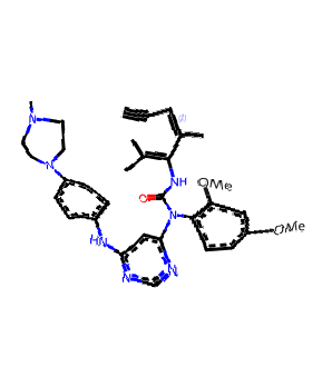 C#C/C=C(/C)C(NC(=O)N(c1cc(Nc2ccc(N3CCN(C)CC3)cc2)ncn1)c1ccc(OC)cc1OC)=C(C)C